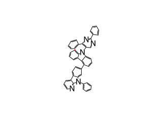 c1ccc(-c2ncc(-n3c4ccccc4c4c(-c5ccc6c7cccnc7n(-c7ccccc7)c6c5)cccc43)c(-c3ccccc3)n2)cc1